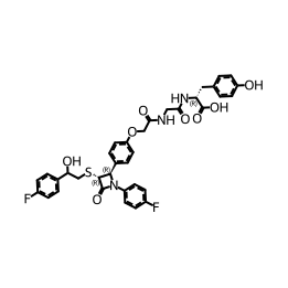 O=C(COc1ccc([C@@H]2[C@@H](SCC(O)c3ccc(F)cc3)C(=O)N2c2ccc(F)cc2)cc1)NCC(=O)N[C@H](Cc1ccc(O)cc1)C(=O)O